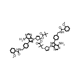 COc1ccccc1C(=O)NCc1ccc(-c2nn([C@H]3C=C[C@@H](CC(C)(C)C(=O)O[C@]4(OC(=O)C(C)(C)C)C=C[C@H](n5nc(-c6ccc(CNC(=O)c7ccccc7OC)cc6)c6c(N)ncnc65)C4)C3)c3ncnc(N)c23)cc1